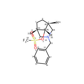 O=S(=O)(O[C@H]1[C@@H]2CC[C@H]1CN(Cc1ccccc1)C2)C(F)(F)F